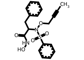 CC#CCON(C(Cc1ccccc1)C(=O)NO)S(=O)(=O)c1ccccc1